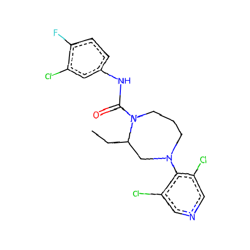 CCC1CN(c2c(Cl)cncc2Cl)CCCN1C(=O)Nc1ccc(F)c(Cl)c1